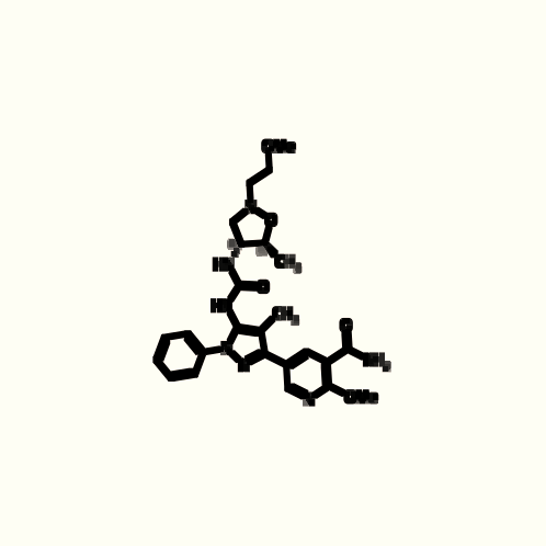 COCCN1C[C@@H](NC(=O)Nc2c(C)c(-c3cnc(OC)c(C(N)=O)c3)nn2-c2ccccc2)[C@H](C)O1